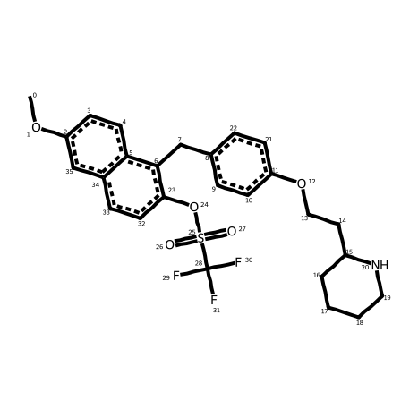 COc1ccc2c(Cc3ccc(OCCC4CCCCN4)cc3)c(OS(=O)(=O)C(F)(F)F)ccc2c1